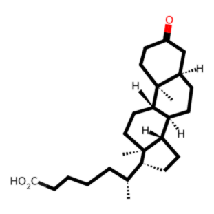 C[C@H](CCCCC(=O)O)[C@H]1CC[C@H]2[C@@H]3CC[C@@H]4CC(=O)CC[C@]4(C)[C@H]3CC[C@]12C